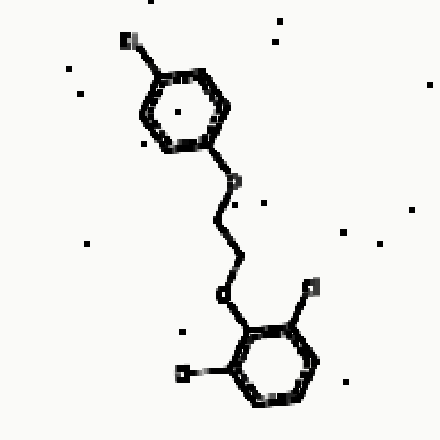 CCc1ccc(OCCOc2c(Cl)cccc2Cl)cc1